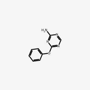 Nc1ncnc(Oc2ccccc2)n1